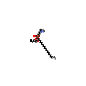 CCCCCCCCCCCCCCCCCC(COP(O)OCCCNC)OC(=O)CC